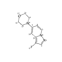 Ic1cnn2ccc(N3CCOCC3)cc12